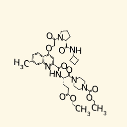 CCOC(=O)CC[C@H](NC(=O)c1cc(OCC(=O)N2CCC[C@H]2C(=O)NC2CCC2)c2ccc(C)cc2n1)C(=O)N1CCN(C(=O)OCC)CC1